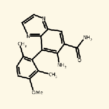 COc1ccc(C)c(-c2c(N)c(C(N)=O)cc3nccnc23)c1C